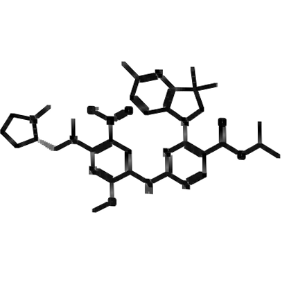 COc1nc(N(C)C[C@@H]2CCCN2C)c([N+](=O)[O-])cc1Nc1ncc(C(=O)OC(C)C)c(N2CC(C)(C)c3nc(C)ccc32)n1